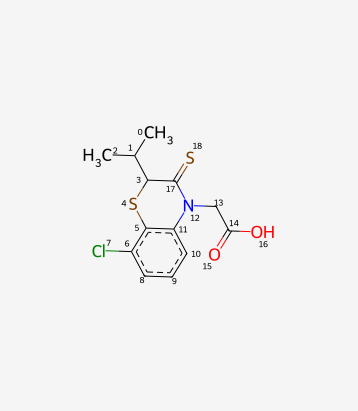 CC(C)C1Sc2c(Cl)cccc2N(CC(=O)O)C1=S